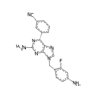 N#Cc1cccc(-c2nc(N)nc3c2ncn3Cc2ccc(N)cc2F)c1